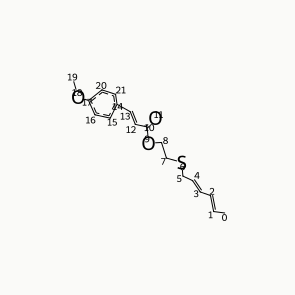 CC=CC=CCSCCOC(=O)C=Cc1ccc(OC)cc1